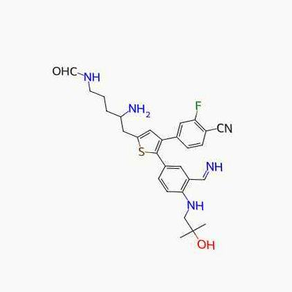 CC(C)(O)CNc1ccc(-c2sc(CC(N)CCCNC=O)cc2-c2ccc(C#N)c(F)c2)cc1C=N